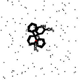 CC1=NC=CC(c2ccccc2)([C@@]2(c3cccnc3)C=CNC(C)C2)C1